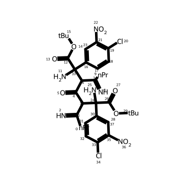 CCCC(=N)C(C(=O)C(C(=N)CCC)C(N)(C(=O)OC(C)(C)C)c1ccc(Cl)c([N+](=O)[O-])c1)C(N)(C(=O)OC(C)(C)C)c1ccc(Cl)c([N+](=O)[O-])c1